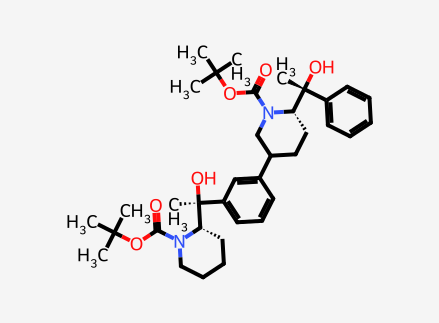 CC(C)(C)OC(=O)N1CCCC[C@H]1[C@@](C)(O)c1cccc(C2CC[C@@H]([C@](C)(O)c3ccccc3)N(C(=O)OC(C)(C)C)C2)c1